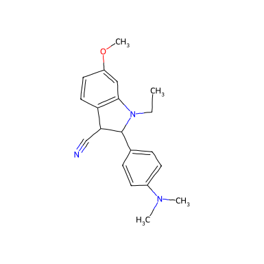 CCN1c2cc(OC)ccc2C(C#N)C1c1ccc(N(C)C)cc1